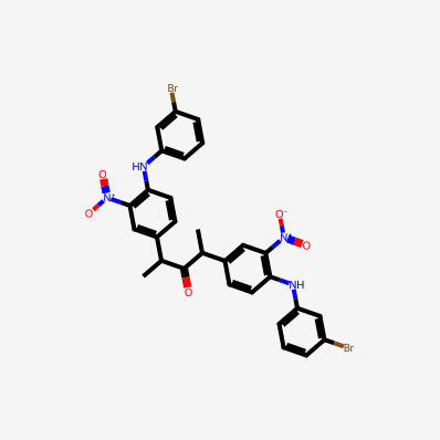 CC(C(=O)C(C)c1ccc(Nc2cccc(Br)c2)c([N+](=O)[O-])c1)c1ccc(Nc2cccc(Br)c2)c([N+](=O)[O-])c1